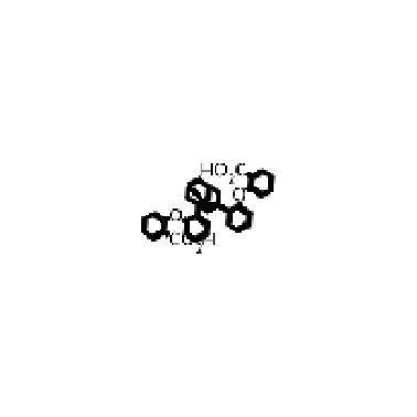 O=C(O)c1ccccc1Oc1ccccc1C12CC3CC(C1)CC(c1ccccc1Oc1ccccc1C(=O)O)(C3)C2